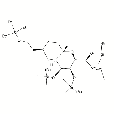 CC[Si](CC)(CC)OCC[C@H]1CC[C@@H]2O[C@@H]([C@H](C=CI)O[Si](C)(C)C(C)(C)C)[C@@H](O[Si](C)(C)C(C)(C)C)[C@@H](O[Si](C)(C)C(C)(C)C)[C@H]2O1